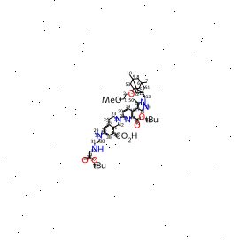 COCCOC12CC3(C)CC(C)(CC(Cn4ncc(-c5ccc(N6CCc7cc(N(C)CCNCC(=O)OC(C)(C)C)cc(C(=O)O)c7C6)nc5C(=O)OC(C)(C)C)c4C)(C3)C1)C2